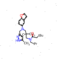 Cc1cc(CN(CC(C)(C)CN(CC(C)C)C(=O)CC(C)(C)C)c2ccc3occc3c2)n[nH]1